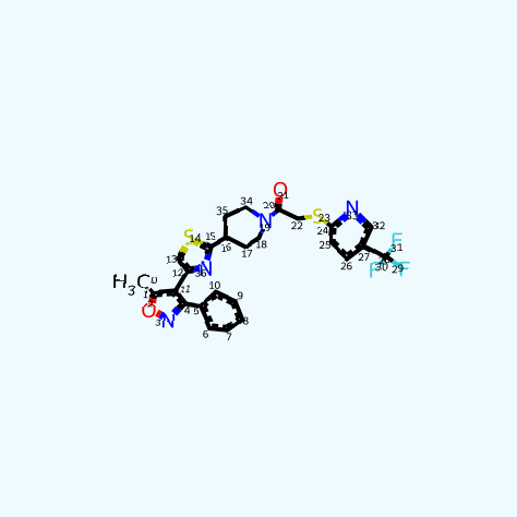 Cc1onc(-c2ccccc2)c1-c1csc(C2CCN(C(=O)CSc3ccc(C(F)(F)F)cn3)CC2)n1